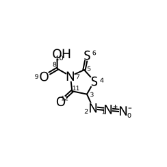 [N-]=[N+]=NC1SC(=S)N(C(=O)O)C1=O